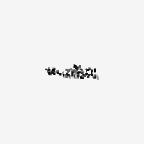 Cc1cc(C(=O)c2ccc(=O)n(-c3ccc(OCCCOS(C)(=O)=O)cc3)c2N)ccc1F